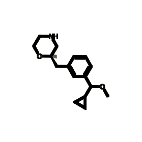 COC(c1cccc(C[C@@H]2CNCCO2)c1)C1CC1